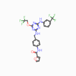 O=C(Nc1ccc(CNc2nc(Nc3cccc(C(F)(F)F)c3)nc(OCC(F)(F)F)n2)cc1)c1ccco1